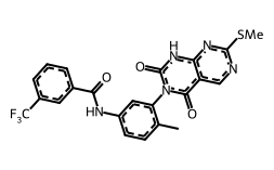 CSc1ncc2c(=O)n(-c3cc(NC(=O)c4cccc(C(F)(F)F)c4)ccc3C)c(=O)[nH]c2n1